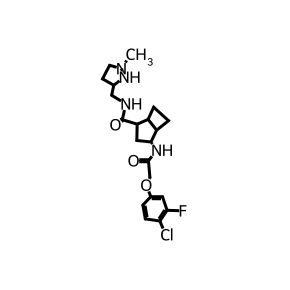 CN1CCC(CNC(=O)C2C[C@H](NC(=O)COc3ccc(Cl)c(F)c3)C3CCC23)N1